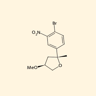 CO[C@@H]1CO[C@@](C)(c2ccc(Br)c([N+](=O)[O-])c2)C1